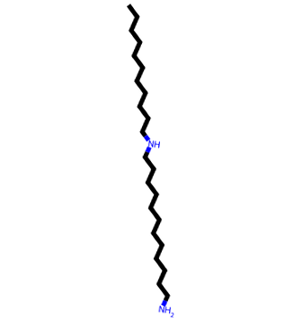 CCCCCCCCCCCNCCCCCCCCCCCCN